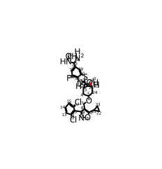 C[C@H]1C[C@@H]2C[C@@H](OCc3c(-c4c(Cl)cccc4Cl)noc3C3CC3)C[C@H]1[C@]2(O)c1nc2c(F)cc(C(N)NO)cc2s1